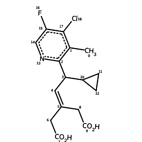 Cc1c(C(C=C(CC(=O)O)CC(=O)O)C2CC2)ncc(F)c1Cl